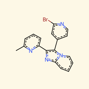 Cc1cccc(-c2nc3ccccn3c2-c2ccnc(Br)c2)n1